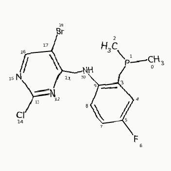 CP(C)c1cc(F)ccc1Nc1nc(Cl)ncc1Br